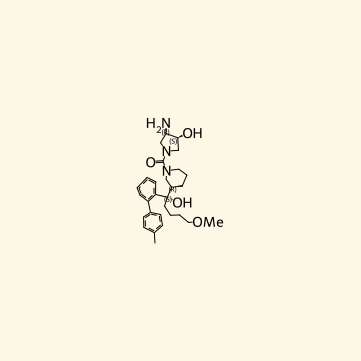 COCCCC[C@@](O)(c1ccccc1-c1ccc(C)cc1)[C@@H]1CCCN(C(=O)N2C[C@@H](N)[C@@H](O)C2)C1